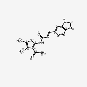 Cc1sc(NC(=O)/C=C/c2ccc3c(c2)OCO3)c(C(N)=O)c1C